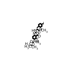 COC(=O)[C@H](Cc1ccc(I)cc1)Nc1nc2ccc(NC(=O)OC(C)(C)C)c(C)c2c(=O)o1